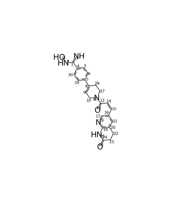 N=C(NO)c1ccc(C2=CCN(C(=O)/C=C\c3cnc4c(c3)CCC(=O)N4)CC2)cc1